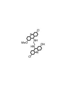 COc1ccc2nc3cc(Cl)ccc3c(NCCNc3c4ccc(Cl)cc4nc4ccc(O)cc34)c2c1